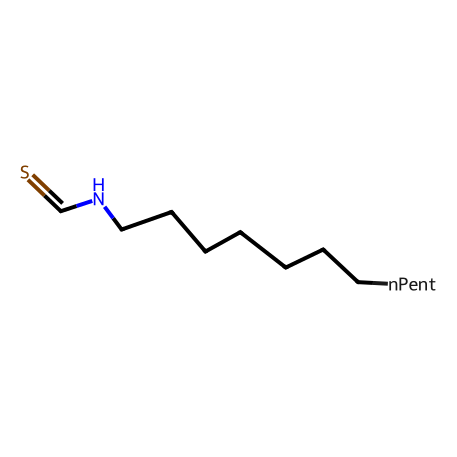 CCCCCCCCCCCCNC=S